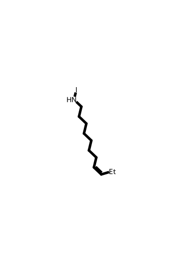 CC/C=C\CCCCCCCNI